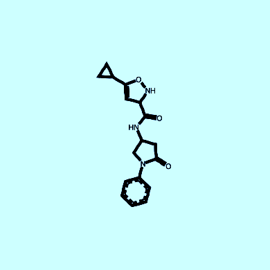 O=C(NC1CC(=O)N(c2ccccc2)C1)C1C=C(C2CC2)ON1